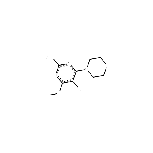 CCC(C)Oc1nc(SC)nc(N2CCSCC2)c1[N+](=O)[O-]